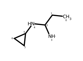 CCC([NH])NC1CC1